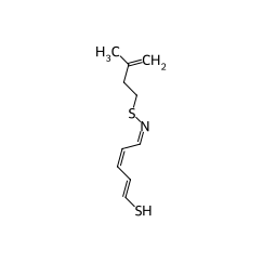 C=C(C)CCS\N=C/C=C\C=C\S